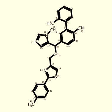 Cc1ccccc1-c1cc(C(OCc2csc(-c3ccc(C(F)(F)F)cc3)n2)c2cncn2C)ccc1C#N